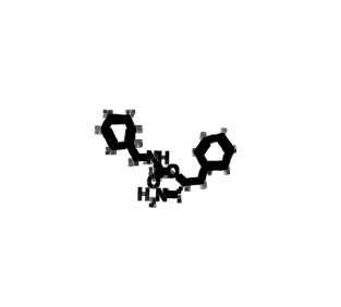 NC[C@@H](Cc1ccccc1)OC(=O)NCc1ccccc1